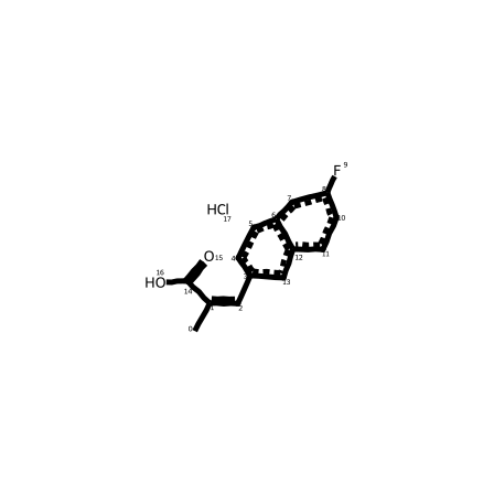 CC(=Cc1ccc2cc(F)ccc2c1)C(=O)O.Cl